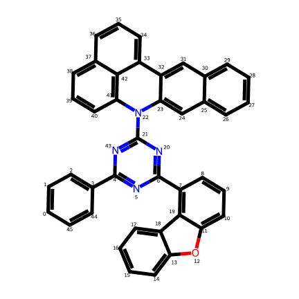 c1ccc(-c2nc(-c3cccc4oc5ccccc5c34)nc(N3c4cc5ccccc5cc4-c4cccc5cccc3c45)n2)cc1